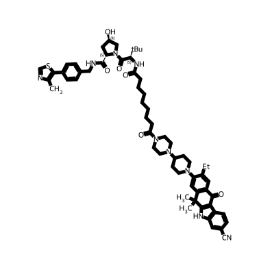 CCc1cc2c(cc1N1CCC(N3CCN(C(=O)CCCCCCCC(=O)N[C@H](C(=O)N4C[C@H](O)C[C@H]4C(=O)NCc4ccc(-c5scnc5C)cc4)C(C)(C)C)CC3)CC1)C(C)(C)c1[nH]c3cc(C#N)ccc3c1C2=O